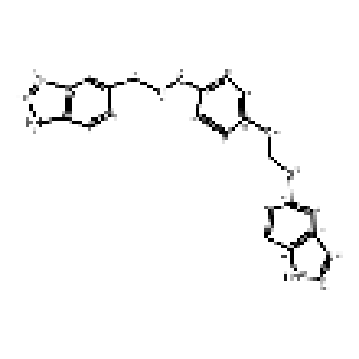 c1cc2[nH]nnc2cc1COOc1ccc(OCOc2ccc3[nH]nnc3c2)cc1